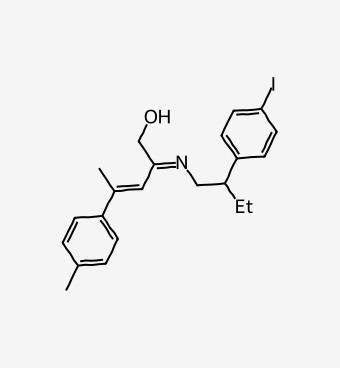 CCC(C/N=C(\C=C(/C)c1ccc(C)cc1)CO)c1ccc(I)cc1